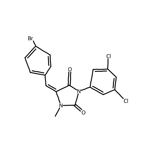 CN1C(=O)N(c2cc(Cl)cc(Cl)c2)C(=O)C1=Cc1ccc(Br)cc1